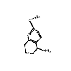 CCCCOc1ccc2c(n1)CCCC2N